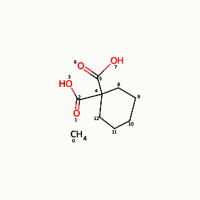 C.O=C(O)C1(C(=O)O)CCCCC1